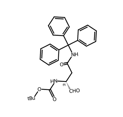 CC(C)(C)OC(=O)N[C@@H](C=O)CC(=O)NC(c1ccccc1)(c1ccccc1)c1ccccc1